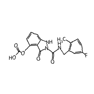 Cc1ccc(F)cc1CNC(=O)n1[nH]c2cccc(OC(=O)O)c2c1=O